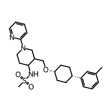 Cc1cccc([C@H]2CC[C@@H](OCC3CN(c4ccccn4)CCC3NS(C)(=O)=O)CC2)c1